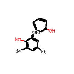 CCc1cc(C(C)(C)C)c(O)c(C(C)(C)C)c1.Oc1ccccc1